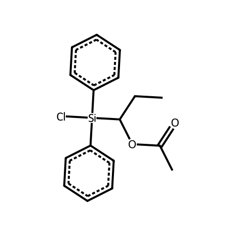 CCC(OC(C)=O)[Si](Cl)(c1ccccc1)c1ccccc1